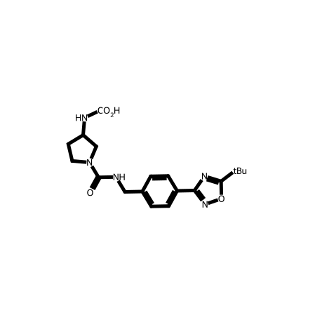 CC(C)(C)c1nc(-c2ccc(CNC(=O)N3CCC(NC(=O)O)C3)cc2)no1